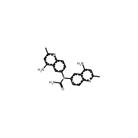 Cc1cc(N)c2cc(N(C(N)=O)c3ccc4nc(C)cc(N)c4c3)ccc2n1